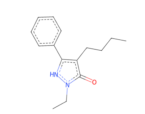 CCCCc1c(-c2ccccc2)[nH]n(CC)c1=O